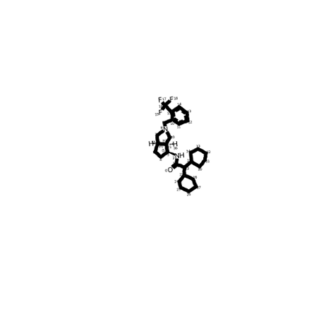 O=C(N[C@H]1CC[C@H]2CN(Cc3ccccc3C(F)(F)F)C[C@H]21)C(C1CCCCC1)C1CCCCC1